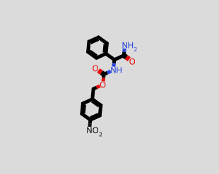 NC(=O)C(NC(=O)OCc1ccc([N+](=O)[O-])cc1)c1ccccc1